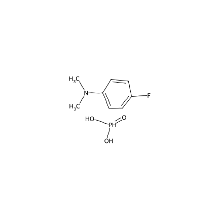 CN(C)c1ccc(F)cc1.O=[PH](O)O